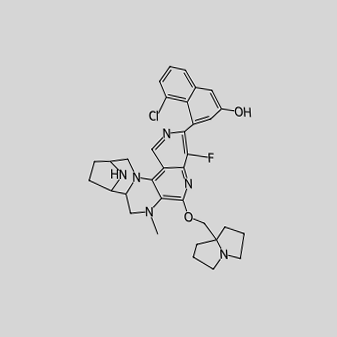 CN1CC2C3CCC(CN2c2c1c(OCC14CCCN1CCC4)nc1c(F)c(-c4cc(O)cc5cccc(Cl)c45)ncc21)N3